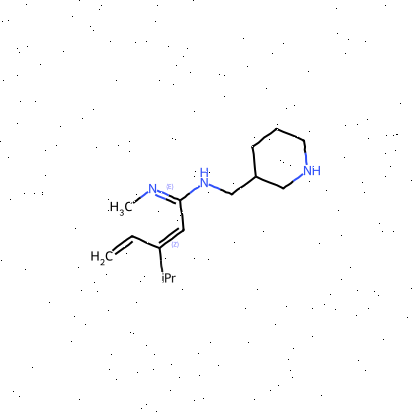 C=C/C(=C\C(=N/C)NCC1CCCNC1)C(C)C